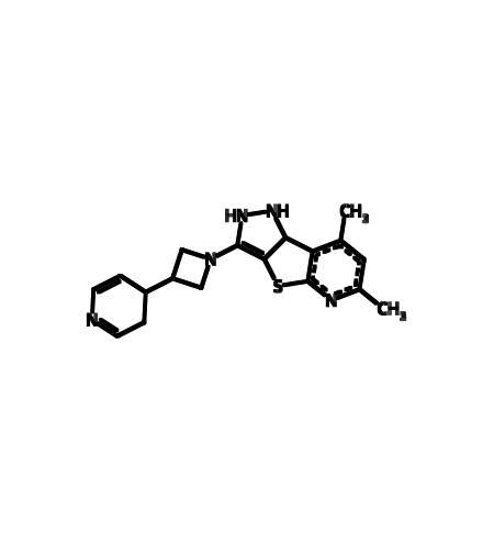 Cc1cc(C)c2c(n1)SC1=C(N3CC(C4C=CN=CC4)C3)NNC12